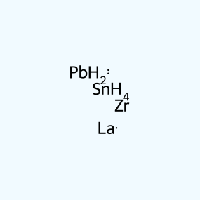 [La].[PbH2].[SnH4].[Zr]